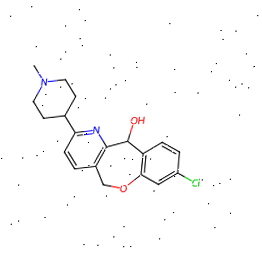 CN1CCC(c2ccc3c(n2)C(O)c2ccc(Cl)cc2OC3)CC1